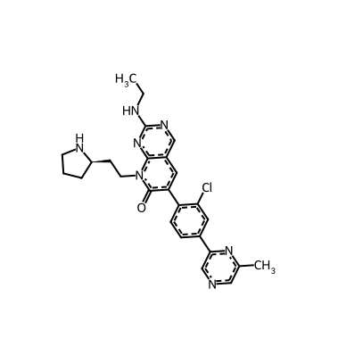 CCNc1ncc2cc(-c3ccc(-c4cncc(C)n4)cc3Cl)c(=O)n(CC[C@H]3CCCN3)c2n1